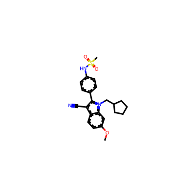 COc1ccc2c(C#N)c(-c3ccc(NS(C)(=O)=O)cc3)n(CC3CCCC3)c2c1